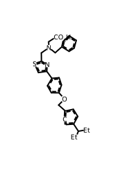 CCC(CC)c1ccc(COc2ccc(-c3csc(CN(CC(=O)O)Cc4ccccc4)n3)cc2)cc1